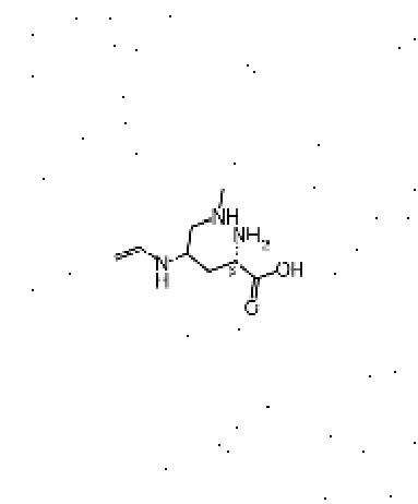 C=CNC(CNC)C[C@H](N)C(=O)O